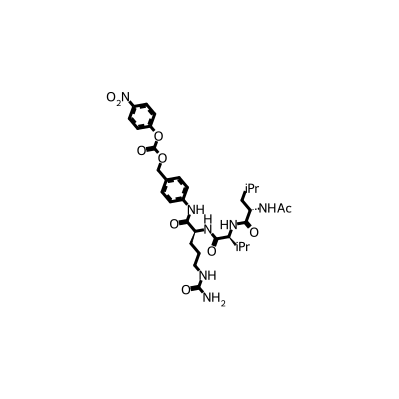 CC(=O)N[C@@H](CC(C)C)C(=O)N[C@H](C(=O)N[C@@H](CCCNC(N)=O)C(=O)Nc1ccc(COC(=O)Oc2ccc([N+](=O)[O-])cc2)cc1)C(C)C